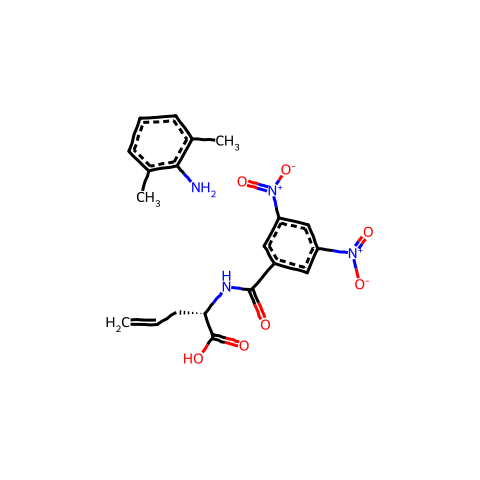 C=CC[C@H](NC(=O)c1cc([N+](=O)[O-])cc([N+](=O)[O-])c1)C(=O)O.Cc1cccc(C)c1N